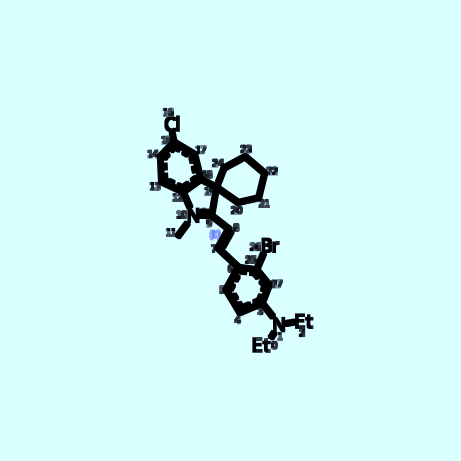 CCN(CC)c1ccc(/C=C/C2=[N+](C)c3ccc(Cl)cc3C23CCCCC3)c(Br)c1